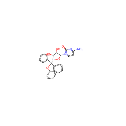 Nc1ccn([C@@H]2O[C@H](C(Oc3ccccc3)(c3ccccc3)c3ccccc3)[C@@H](O)[C@H]2O)c(=O)n1